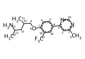 Cc1cc(-c2ccc(OCC(C)CC(C)N)c(C(F)(F)F)c2)ncn1